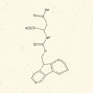 N#CC(CC(=O)O)NC(=O)OCC1c2ccccc2-c2ccccc21